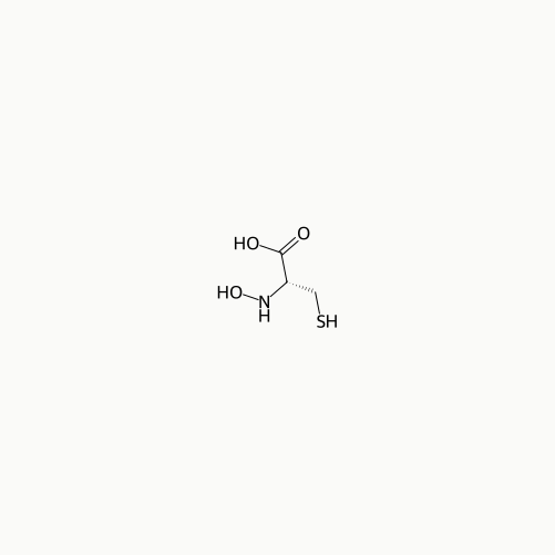 O=C(O)[C@H](CS)NO